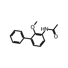 COc1c(NC(C)=O)cccc1-c1ccccc1